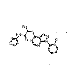 CCC(C)C(Sc1ncnc2c1cnn2-c1ccccc1Cl)C(=O)Nc1ccon1